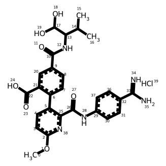 COc1ccc(-c2ccc(C(=O)NC(C(C)C)C(O)O)cc2C(=O)O)c(C(=O)Nc2ccc(C(=N)N)cc2)n1.Cl